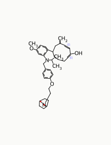 C=C1/C=C\C(O)=C/CCCC(c2ccc(OC)cc2N(Cc2ccc(OCCN3CC4CCC(CC4)C3)cc2)C(C)C)C1